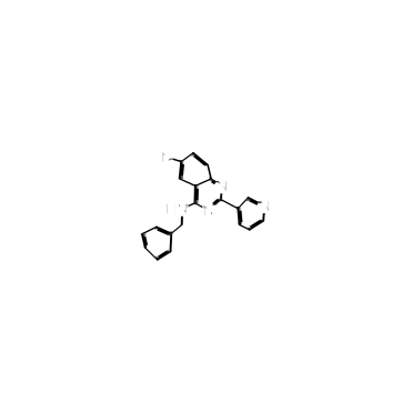 Nc1ccc2nc(-c3cccnc3)nc(NCc3ccccc3)c2c1